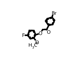 COc1cc(F)ccc1OCC(=O)c1ccc(Br)cc1